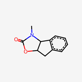 CN1C(=O)OC2Cc3ccccc3C21